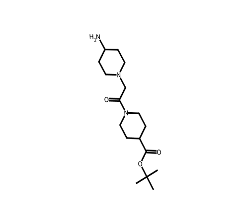 CC(C)(C)OC(=O)C1CCN(C(=O)CN2CCC(N)CC2)CC1